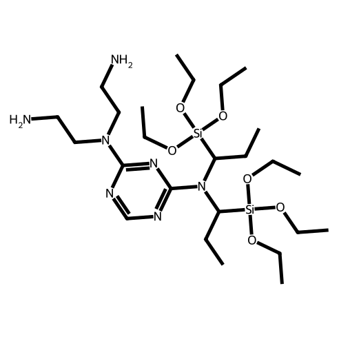 CCO[Si](OCC)(OCC)C(CC)N(c1ncnc(N(CCN)CCN)n1)C(CC)[Si](OCC)(OCC)OCC